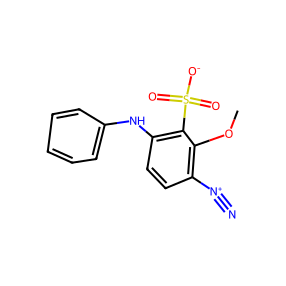 COc1c([N+]#N)ccc(Nc2ccccc2)c1S(=O)(=O)[O-]